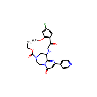 CCOC(=O)N1CCn2c(nc(-c3ccncc3)cc2=O)C(NCC(=O)c2ccc(Cl)cc2OC)C1